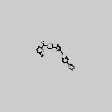 O=C(c1cccc(O)n1)N1CCC(n2ncc(COc3ccc(-n4cnnn4)cc3F)n2)CC1